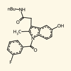 CCCCNC(=O)Cc1c(C)n(C(=O)c2cccc(F)c2)c2ccc(O)cc12